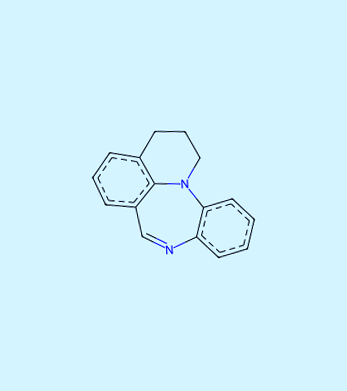 C1=Nc2ccccc2N2CCCc3cccc1c32